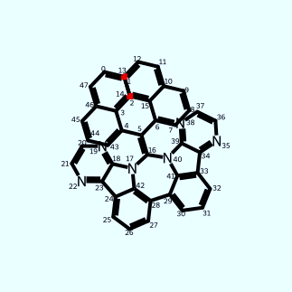 c1ccc2c(C(c3cccc4ccccc34)=c3n4c5nccnc5c5cccc(c6cccc7c8nccnc8n3c67)c54)cccc2c1